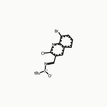 CC(C)(C)[S+]([O-])/N=C/c1cc2cccc(Br)c2nc1Cl